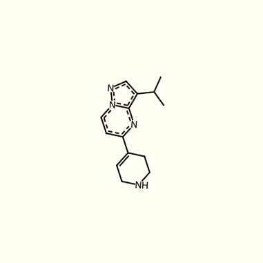 CC(C)c1cnn2ccc(C3=CCNCC3)nc12